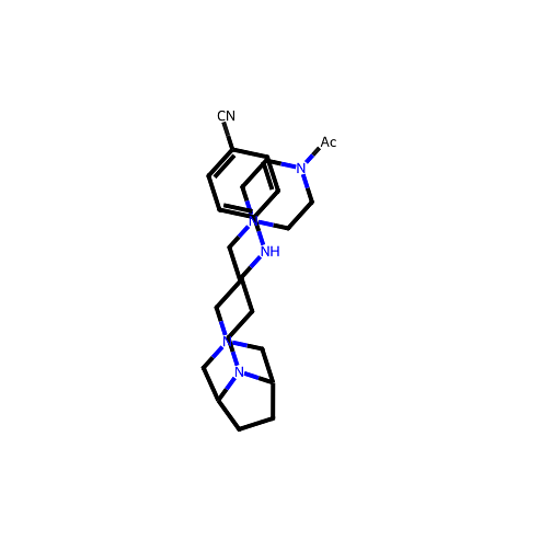 CC(=O)N1CCN(CCCN2CC3CCC(C2)N3CCCNc2ccc(C#N)cc2)CC1